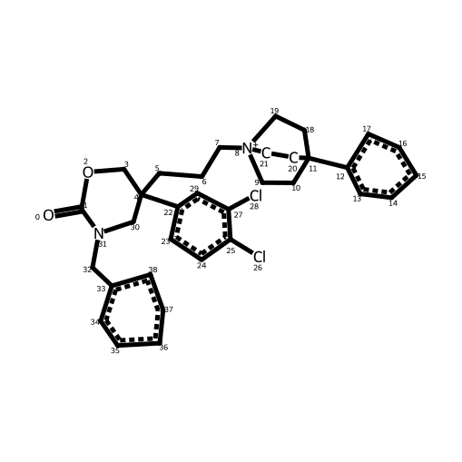 O=C1OCC(CCC[N+]23CCC(c4ccccc4)(CC2)CC3)(c2ccc(Cl)c(Cl)c2)CN1Cc1ccccc1